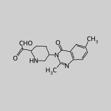 Cc1ccc2nc(C)n(C3CCC(C(=O)C=O)NC3)c(=O)c2c1